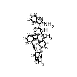 C[C@H](NC(=O)c1c(N)nn2ccccc12)c1sc2cccc(C#Cc3cnn(C)c3)c2c1-c1ccccc1